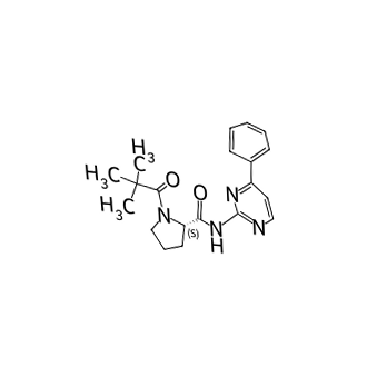 CC(C)(C)C(=O)N1CCC[C@H]1C(=O)Nc1nccc(-c2ccccc2)n1